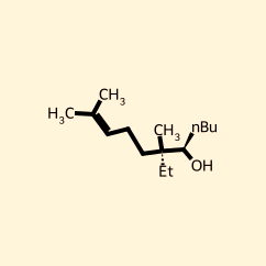 CCCC[C@@H](O)[C@@](C)(CC)CCC=C(C)C